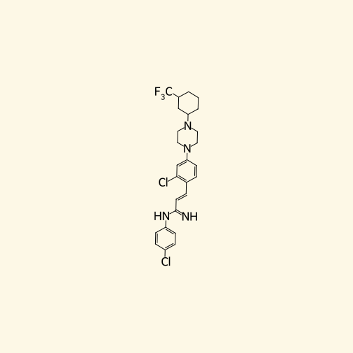 N=C(/C=C/c1ccc(N2CCN(C3CCCC(C(F)(F)F)C3)CC2)cc1Cl)Nc1ccc(Cl)cc1